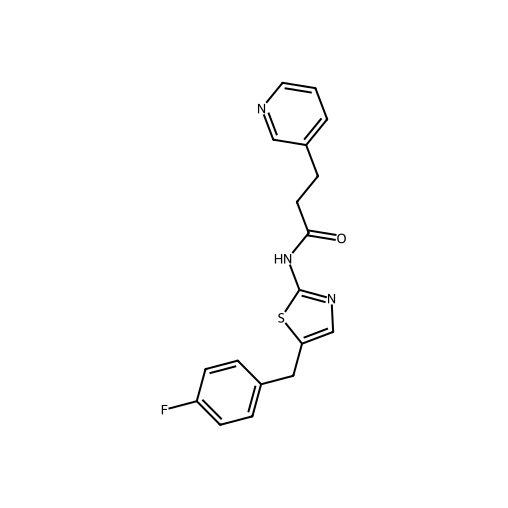 O=C(CCc1cccnc1)Nc1ncc(Cc2ccc(F)cc2)s1